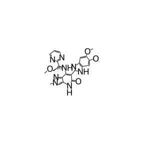 COC[C@H](Nc1c(-c2nc3cc(OC)c(OC)cc3[nH]2)c(=O)[nH]c2cn(C)nc12)c1ncccn1